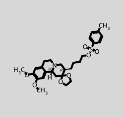 COc1cc2c(cc1OC)[C@H]1CC3(OCCO3)[C@H](CCCCOS(=O)(=O)c3ccc(C)cc3)CN1CC2